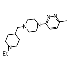 CCN1CCC(CN2CCN(c3ccc(C)nn3)CC2)CC1